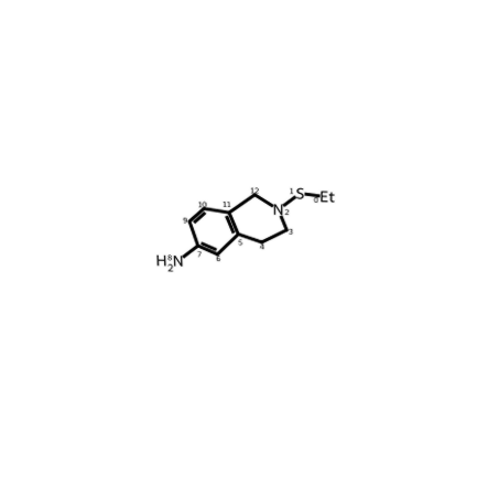 CCSN1CCc2cc(N)ccc2C1